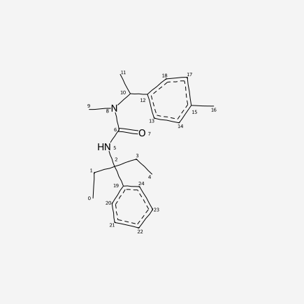 CCC(CC)(NC(=O)N(C)C(C)c1ccc(C)cc1)c1ccccc1